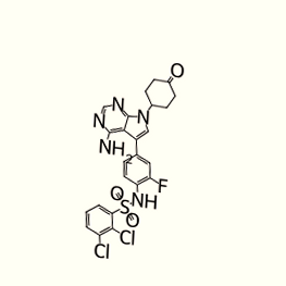 Nc1ncnc2c1c(-c1ccc(NS(=O)(=O)c3cccc(Cl)c3Cl)c(F)c1)cn2C1CCC(=O)CC1